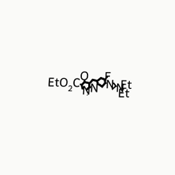 CCOC(=O)c1cn(C)c2nc3cc(N4CC(N(CC)CC)C4)c(F)cc3cc2c1=O